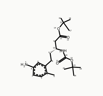 Cc1ccc(N)cc1CC[C@H](CC(=O)OC(C)(C)C)NC(=O)OC(C)(C)C